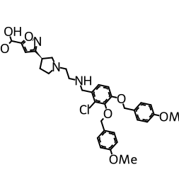 COc1ccc(COc2ccc(CNCCN3CC[C@@H](c4cc(C(O)O)on4)C3)c(Cl)c2OCc2ccc(OC)cc2)cc1